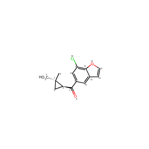 C[C@]1(C(=O)O)C[C@@H]1C(=O)c1cc(Cl)c2occc2c1